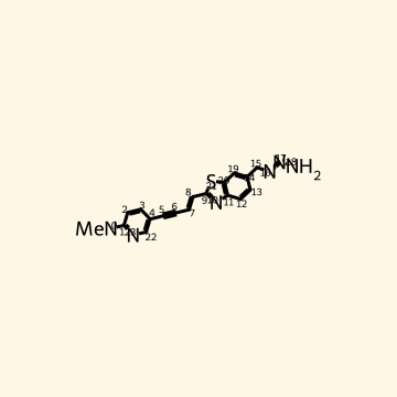 CNc1ccc(C#C/C=C/c2nc3ccc(CN=NN)cc3s2)cn1